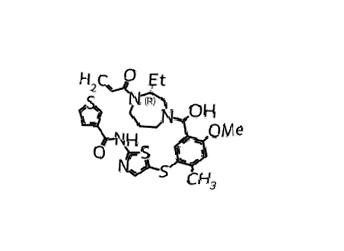 C=CC(=O)N1CCCN(C(O)c2cc(Sc3cnc(NC(=O)c4ccsc4)s3)c(C)cc2OC)C[C@H]1CC